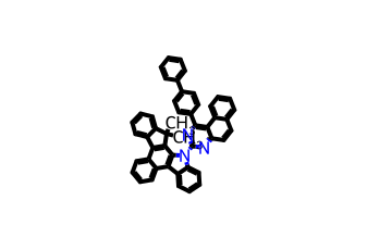 CC1(C)c2ccccc2-c2c1c1c(c3ccccc23)c2ccccc2n1-c1nc(-c2ccc(-c3ccccc3)cc2)c2c(ccc3ccccc32)n1